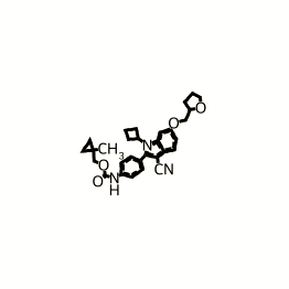 CC1(COC(=O)Nc2ccc(-c3c(C#N)c4ccc(OCC5CCCO5)cc4n3C3CCC3)cc2)CC1